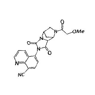 COCC(=O)N1CC2CC1C1C(=O)N(c3ccc(C#N)c4ncccc34)C(=O)N21